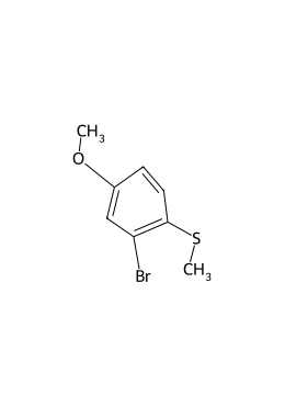 COc1ccc(SC)c(Br)c1